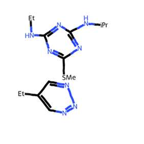 CCNc1nc(NC(C)C)nc(SC)n1.CCc1cnnnc1